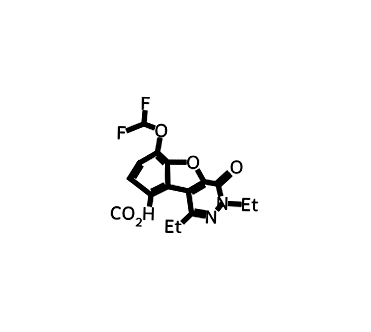 CCc1nn(CC)c(=O)c2oc3c(OC(F)F)ccc(C(=O)O)c3c12